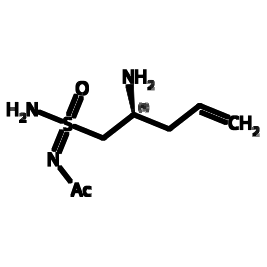 C=CC[C@H](N)CS(N)(=O)=NC(C)=O